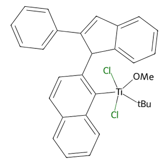 C[O][Ti]([Cl])([Cl])([c]1c(C2C(c3ccccc3)=Cc3ccccc32)ccc2ccccc12)[C](C)(C)C